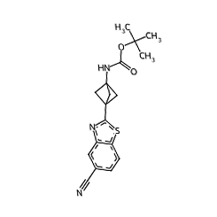 CC(C)(C)OC(=O)NC12CC(c3nc4cc(C#N)ccc4s3)(C1)C2